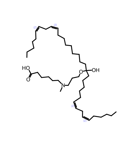 CCCCC/C=C\C/C=C\CCCCCCCCC(O)(CCCCC/C=C\C/C=C\CCCCC)OCCCN(C)CCCCCC(=O)O